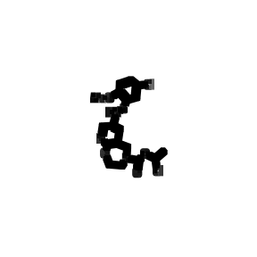 COc1ccc(Cl)cc1SNc1cnc2c(c1)CN(C(=O)OC(C)Cl)CCO2